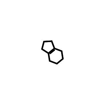 C1CCC2=C(C1)CCC2